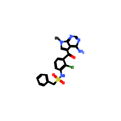 CC(C)n1cc(C(=O)c2cccc(NS(=O)(=O)Cc3ccccc3)c2Cl)c2c(N)ncnc21